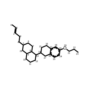 CC=CCCC1CCC2C(CCCC2C2CCc3cc(OCCC)ccc3C2)C1